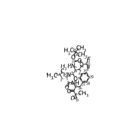 CC(C)C[C@H](NC(=O)[C@H](COC(F)F)NC(=O)OC(C)(C)C)C(=O)N[C@@H](Cc1ccccc1)C(=O)[C@@]1(C)CO1